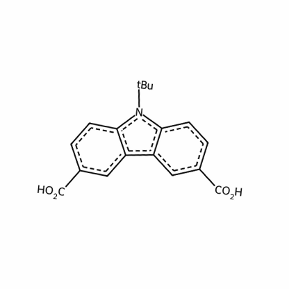 CC(C)(C)n1c2ccc(C(=O)O)cc2c2cc(C(=O)O)ccc21